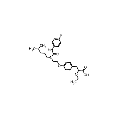 CCOC(Cc1ccc(OCCN(CCCC(C)C)C(=O)Nc2ccc(F)cc2)cc1)C(=O)O